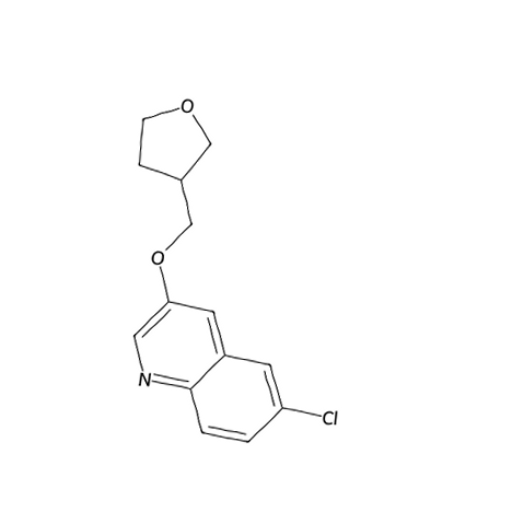 Clc1ccc2ncc(OCC3CCOC3)cc2c1